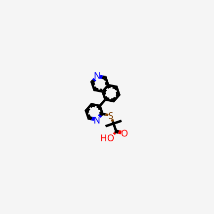 CC(C)(Sc1ncccc1-c1cccc2cnccc12)C(=O)O